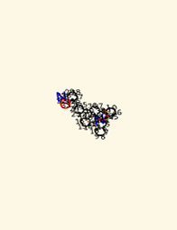 c1ccc(-c2cc3ccccc3c(-c3ccccc3-c3c(-c4cccc(-c5cccc6ncoc56)c4)ccc4ccccc34)n2)cc1